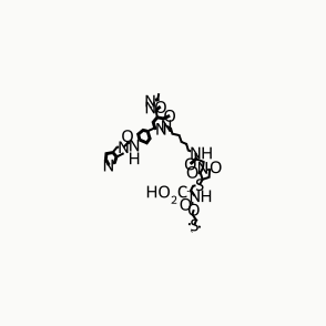 Cc1nnc(-c2cc(-c3ccc(NC(=O)N4Cc5ccncc5C4)cc3)nn(CCCCCCNC(=O)CN3C(=O)CC(SC[C@H](NC(=O)OCCS(C)(C)C)C(=O)O)C3=O)c2=O)o1